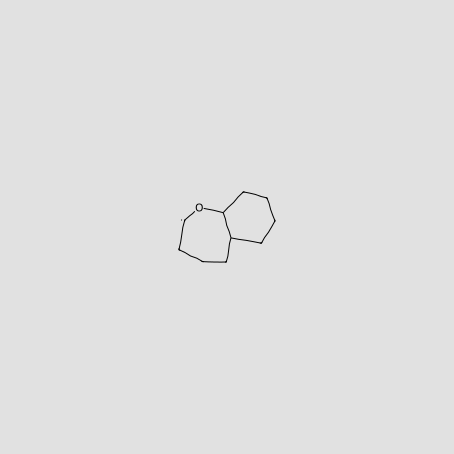 [CH]1CCCC2CCCCC2O1